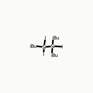 CCC(C)[Si](I)(I)[Si](I)(C(C)CC)C(C)CC